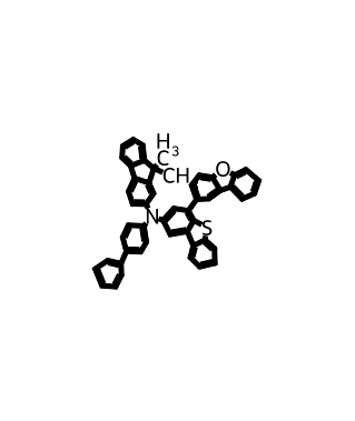 CC1(C)c2ccccc2-c2ccc(N(c3ccc(-c4ccccc4)cc3)c3cc(-c4ccc5oc6ccccc6c5c4)c4sc5ccccc5c4c3)cc21